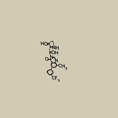 Cc1cc(-c2cccc(C(F)(F)F)c2)cc2c(=O)n(C[C@@H](O)C[C@H]3NCCC[C@@H]3O)cnc12